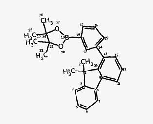 CC1(C)c2ccccc2-c2cccc(-c3cccc(B4OC(C)(C)C(C)(C)O4)c3)c21